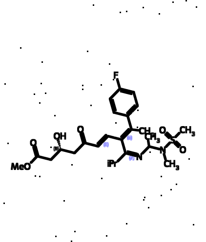 COC(=O)C[C@H](O)CC(=O)/C=C/C(C(=N\C(C)N(C)S(C)(=O)=O)/C(C)C)=C(/C)c1ccc(F)cc1